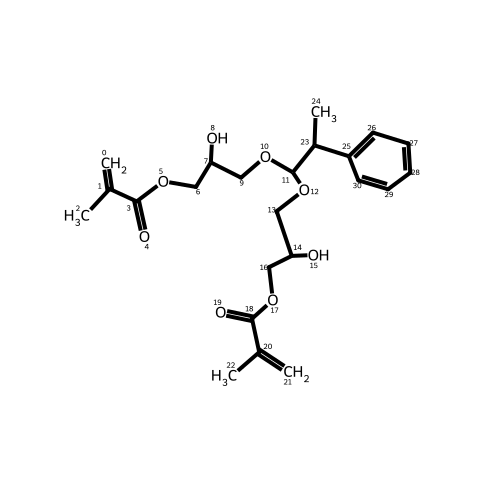 C=C(C)C(=O)OCC(O)COC(OCC(O)COC(=O)C(=C)C)C(C)c1ccccc1